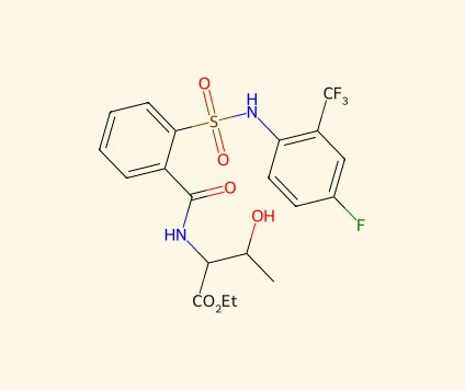 CCOC(=O)C(NC(=O)c1ccccc1S(=O)(=O)Nc1ccc(F)cc1C(F)(F)F)C(C)O